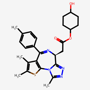 Cc1ccc(C2=N[C@@H](CC(=O)OC3CCC(O)CC3)c3nnc(C)n3-c3sc(C)c(C)c32)cc1